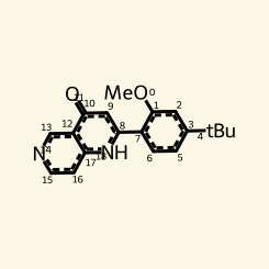 COc1cc(C(C)(C)C)ccc1-c1cc(=O)c2cnccc2[nH]1